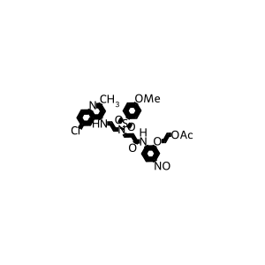 COc1ccc(S(=O)(=O)N(CCNc2cc(C)nc3ccc(Cl)cc23)CCC(=O)Nc2ccc(N=O)cc2OCCOC(C)=O)cc1